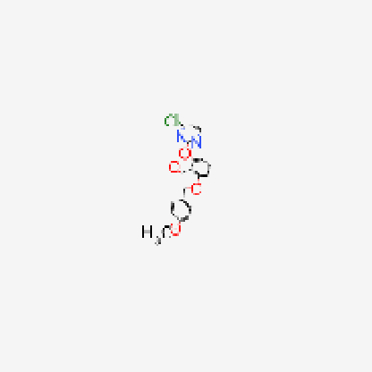 COc1ccc(COc2cccc(Oc3nccc(Cl)n3)c2C=O)cc1